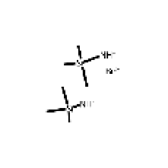 C[Si](C)(C)[NH-].C[Si](C)(C)[NH-].[Bi+2]